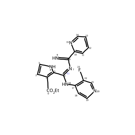 CCOC(=O)c1cc[nH]c1/C(=N\C(=N)c1ccccn1)Nc1ccncc1F